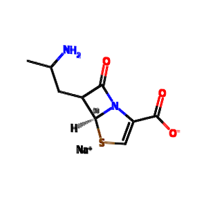 CC(N)CC1C(=O)N2C(C(=O)[O-])=CS[C@@H]12.[Na+]